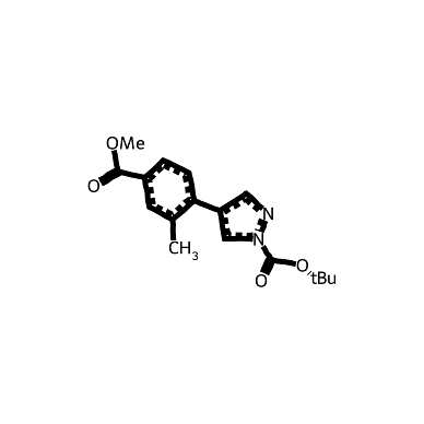 COC(=O)c1ccc(-c2cnn(C(=O)OC(C)(C)C)c2)c(C)c1